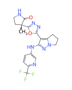 C[C@@]1(c2nnc(-c3c(Nc4ccc(C(F)(F)F)nc4)nn4c3CCC4)o2)CCNC1=O